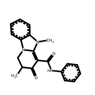 CC1CN2C(=C(C(=O)Nc3ccccc3)C1=O)N(C)c1ccccc12